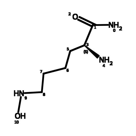 NC(=O)[C@@H](N)CCCCNO